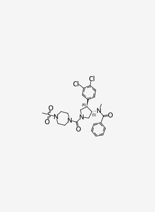 CN(C(=O)c1ccccc1)[C@@H]1CN(C(=O)N2CCN(S(C)(=O)=O)CC2)C[C@H]1c1ccc(Cl)c(Cl)c1